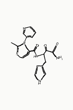 Cc1ncc(C(=O)NC(Cc2cc[nH]c2)C(=O)C(N)=O)n1-c1cccnc1